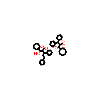 O=c1oc2c(c(O)c1C(CCc1ccccc1)c1ccccc1)CCCCC2.O=c1oc2c(c(O)c1C(c1ccccc1)c1ccccc1)CCCCCC2